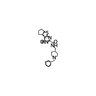 O=C(NCC1CCN(Cc2ccccc2)CC1)c1nc2sc3c(c2c(=O)[nH]1)CCC3